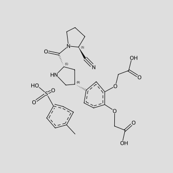 Cc1ccc(S(=O)(=O)O)cc1.N#C[C@@H]1CCCN1C(=O)[C@@H]1C[C@H](c2ccc(OCC(=O)O)c(OCC(=O)O)c2)CN1